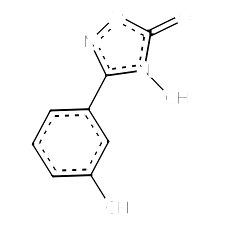 Cc1cccc(-c2noc(=O)n2C)c1